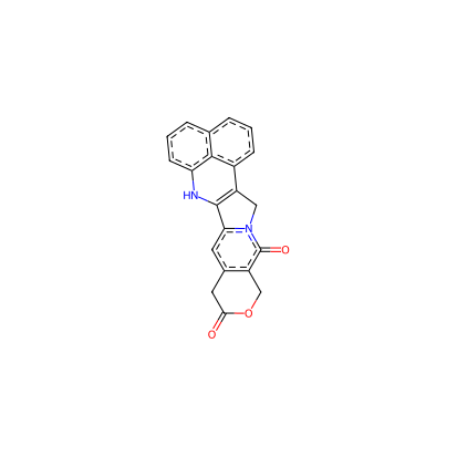 O=C1Cc2cc3n(c(=O)c2CO1)CC1=C3Nc2cccc3cccc1c23